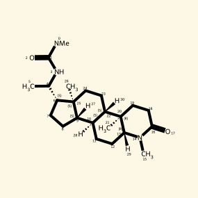 CNC(=O)NC(C)[C@H]1CC[C@H]2[C@@H]3CC[C@H]4N(C)C(=O)CC[C@]4(C)[C@H]3CC[C@]12C